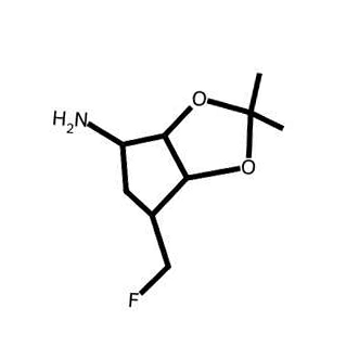 CC1(C)OC2C(N)CC(CF)C2O1